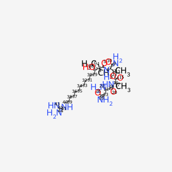 CCC(C)(C(=O)NC(C(N)=O)C(C)OC(=O)C(C)NC(=O)C(N)CC(N)=O)C(O)CCCCCCCCCCCCNC(=N)N